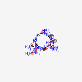 CC(C)CC1NC(=O)[C@H](CC(N)=O)NC(=O)C(C)(C)CCCCCn2cc(nn2)CCC[C@@](C)(C(=O)N[C@@H](CCC(N)=O)C(=O)N[C@@H](CC(N)=O)C(N)=O)NN[C@@H](CC(C)C)C(=O)C(=O)[C@H](CC(C)C)NC(=O)C(CCCNC(=N)N)NC(=O)[C@H](Cc2c[nH]c3ccccc23)NC1=O